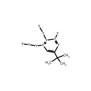 CC(C)(C)[C]1=[CH][Y]([Y][Y][Y])=[Y]([Y][Y])[Y]([Y])=[Y]1